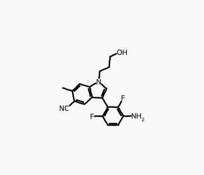 Cc1cc2c(cc1C#N)c(-c1c(F)ccc(N)c1F)cn2CCCO